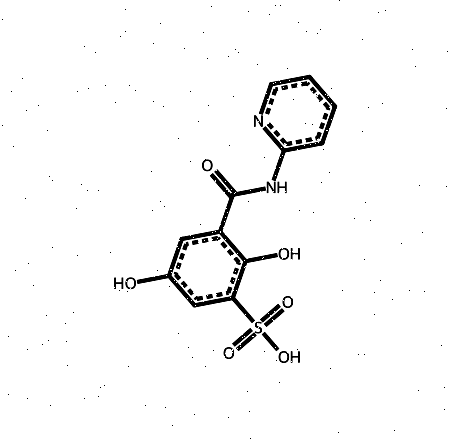 O=C(Nc1ccccn1)c1cc(O)cc(S(=O)(=O)O)c1O